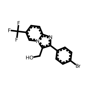 OCc1c(-c2ccc(Br)cc2)nc2ccc(C(F)(F)F)cn12